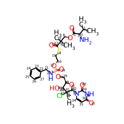 CC(C)[C@H](N)C(=O)OCC(C)(C)C(=O)SCCOP(=O)(NCc1ccccc1)OC[C@H]1O[C@@H](n2ccc(=O)[nH]c2=O)[C@](C)(Cl)[C@@H]1O